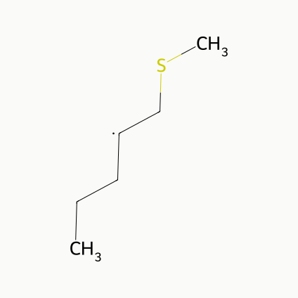 CCC[CH]CSC